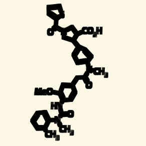 COc1cc(CC(=O)N(C)c2ccc(C3CN(C(=O)c4cccs4)CC3C(=O)O)cc2)ccc1NC(=O)N(C)c1ccccc1C